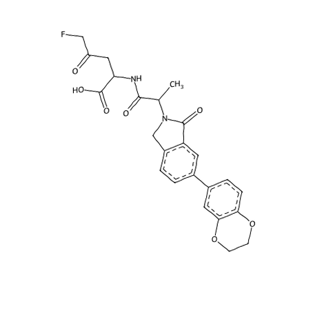 CC(C(=O)NC(CC(=O)CF)C(=O)O)N1Cc2ccc(-c3ccc4c(c3)OCCO4)cc2C1=O